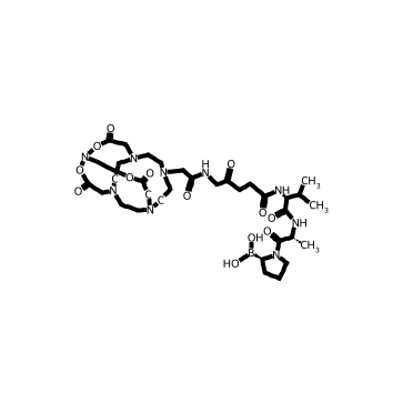 CC(C)[C@H](NC(=O)CCC(=O)CNC(=O)CN1CCN2CCN3CCN(CC1)CC(=O)ON(OC(=O)C2)OC(=O)C3)C(=O)N[C@H](C)C(=O)N1CCC[C@H]1B(O)O